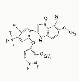 COc1ccc2[nH]c(-c3cc(F)c(C(F)(F)F)cc3Oc3ccc(F)c(F)c3OC)cc(=O)c2c1C#N